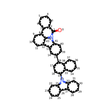 O=c1c2ccccc2c2cccc3c4cc(-c5ccc(-n6c7ccccc7c7ccccc76)c6ccccc56)ccc4n1c23